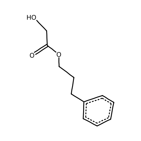 O=C(CO)OCCCc1ccccc1